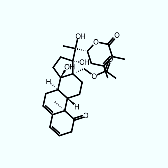 CC(=O)OC[C@]12CC[C@H]3[C@@H](CC=C4C=CCC(=O)[C@@]43C)[C@]1(O)CC[C@@]2(O)C(C)(O)[C@H]1CC(C)=C(C)C(=O)O1